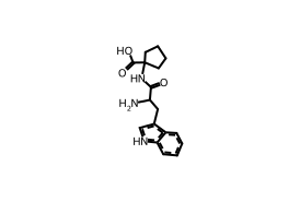 NC(Cc1c[nH]c2ccccc12)C(=O)NC1(C(=O)O)CCCC1